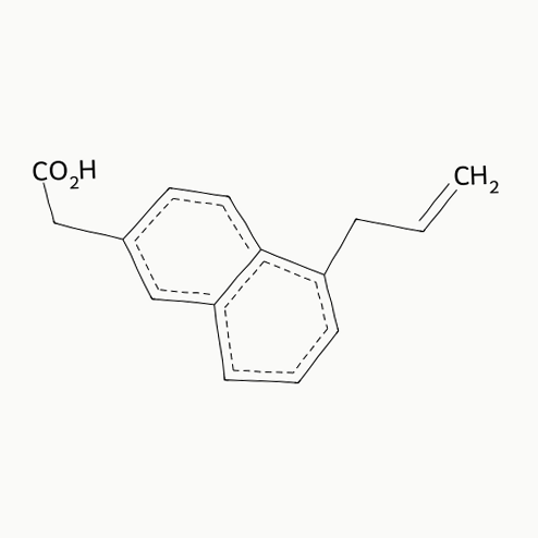 C=CCc1cccc2cc(CC(=O)O)ccc12